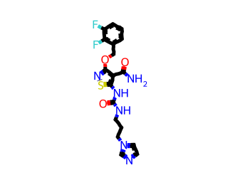 NC(=O)c1c(OCc2cccc(F)c2F)nsc1NC(=O)NCCCn1ccnc1